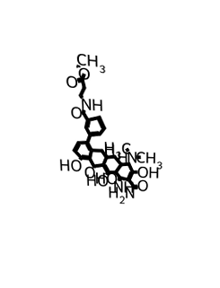 CCOC(=O)CCNC(=O)c1cccc(-c2ccc(O)c3c2C[C@H]2C[C@H]4[C@H](N(C)C)C(O)=C(C(N)=O)C(=N)[C@@]4(O)C(O)=C2C3=O)c1